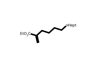 C=C(CCCCCCCCCCC)C(=O)OCC